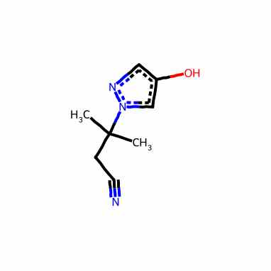 CC(C)(CC#N)n1cc(O)cn1